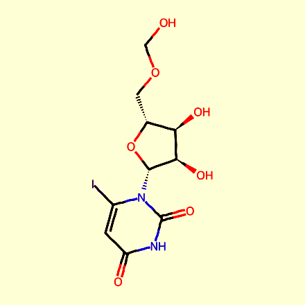 O=c1cc(I)n([C@@H]2O[C@H](COCO)[C@@H](O)[C@H]2O)c(=O)[nH]1